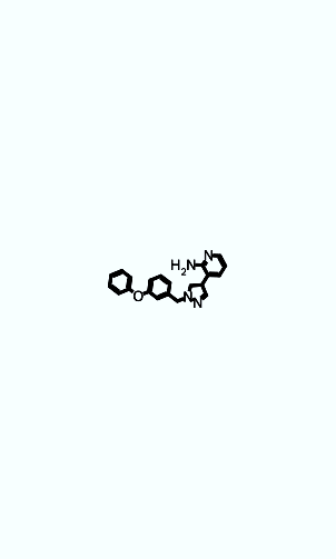 Nc1ncccc1C1C=NN(Cc2cccc(Oc3ccccc3)c2)C1